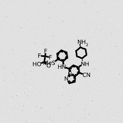 CSc1ccccc1Nc1cc(N[C@H]2CC[C@H](N)CC2)c(C#N)c2ccnn12.O=C(O)C(F)(F)F